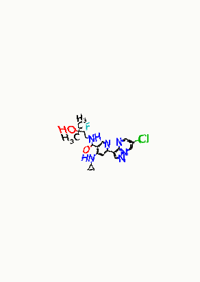 CC(C)(O)[C@H](F)CNC(=O)c1cnc(-c2cnn3cc(Cl)cnc23)cc1NC1CC1